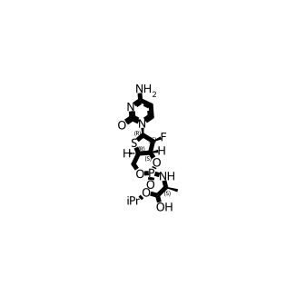 CC(C)OC(O)[C@H](C)NP1(=O)OC[C@H]2S[C@@H](n3ccc(N)nc3=O)[C@@H](F)[C@@H]2O1